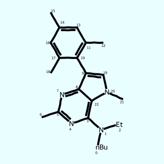 CCCCN(CC)c1nc(C)nc2c(-c3c(C)cc(C)cc3C)cn(C)c12